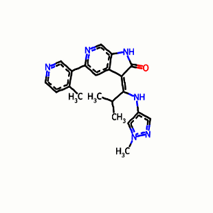 Cc1ccncc1-c1cc2c(cn1)NC(=O)/C2=C(\Nc1cnn(C)c1)C(C)C